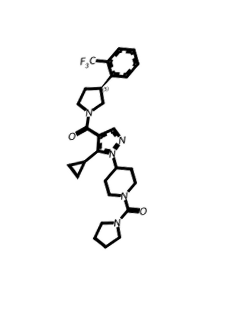 O=C(c1cnn(C2CCN(C(=O)N3CCCC3)CC2)c1C1CC1)N1CC[C@@H](c2ccccc2C(F)(F)F)C1